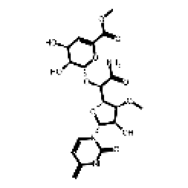 C=C1C=CN([C@@H]2O[C@H]([C@@H](O[C@H]3OC(C(=O)OC)=C[C@H](O)[C@@H]3O)C(N)=O)[C@@H](OC)[C@H]2O)C(=O)N1